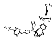 CC#CC(=O)Nc1ccc2ncnc(Nc3ccc(Cc4cnc(C)cn4)cc3)c2c1